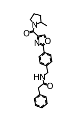 CC1CCCN1C(=O)c1coc(-c2ccc(CNC(=O)Cc3ccccc3)cc2)n1